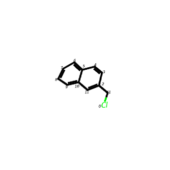 Cl[CH]c1ccc2ccccc2c1